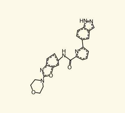 O=C(Nc1ccc2nc(N3CCOCC3)oc2c1)c1cccc(-c2ccc3[nH]ncc3c2)n1